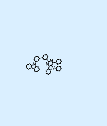 c1ccc(-c2nc(-c3cccc(-c4cccc(-n5c6ccccc6c6ccccc65)c4)c3)nc3c4ccccc4n(-c4ccccc4)c23)cc1